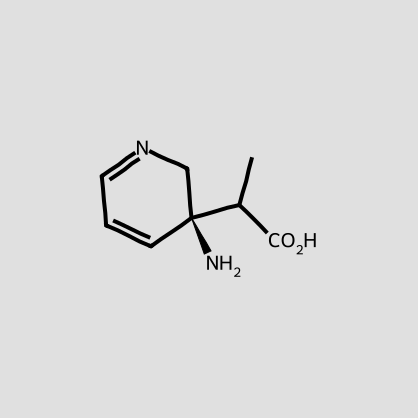 CC(C(=O)O)[C@]1(N)C=CC=NC1